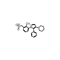 Cc1c(C[SH](=O)=O)cccc1-n1ccc(N2CCCCC2)c1-c1ccccc1